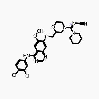 COc1cc2c(Nc3ccc(Cl)c(Cl)c3)ncnc2cc1OCC1CN(/C(=N/C#N)N2CCCCC2)CCO1